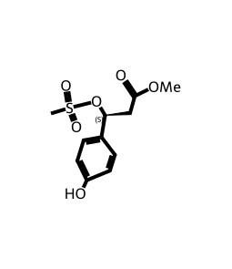 COC(=O)C[C@H](OS(C)(=O)=O)c1ccc(O)cc1